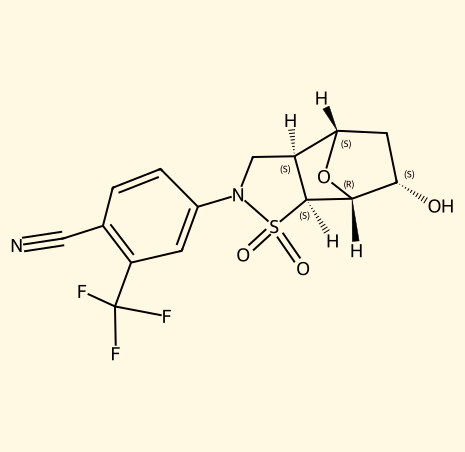 N#Cc1ccc(N2C[C@@H]3[C@@H]([C@@H]4O[C@H]3C[C@@H]4O)S2(=O)=O)cc1C(F)(F)F